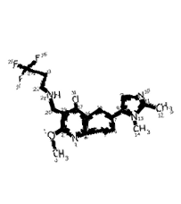 COc1nc2ccc(-c3cnc(C)n3C)cc2c(Cl)c1CNCCC(F)(F)F